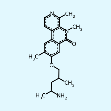 Cc1cc2c(cc1OCC(C)CC(C)N)c(=O)n(C)c1c(C)nccc21